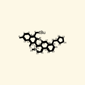 Cc1ccc2c(CC(C)(C)C)c3c(c(C)c2c1)-c1c2c(cc4c(CC5CCCC5)cccc4c2cc[n+]1C)S3